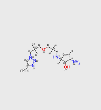 CC=CC(C)(NCC(C)(C)COCC(C)(C)Cn1cc(CCC)nn1)C(O)CN